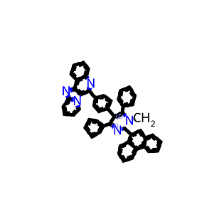 C=N/C(=C(\C(=N/Cc1cc2ccccc2c2ccccc12)c1ccccc1)c1ccc(-c2nc3ccccc3c3nc4ccccn4c23)cc1)c1ccccc1